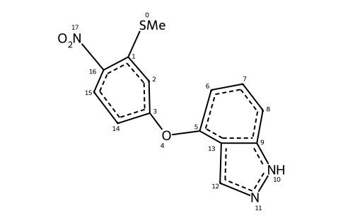 CSc1cc(Oc2cccc3[nH]ncc23)ccc1[N+](=O)[O-]